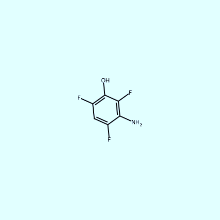 Nc1c(F)cc(F)c(O)c1F